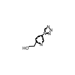 OCCc1ccc(-n2cnnn2)cn1